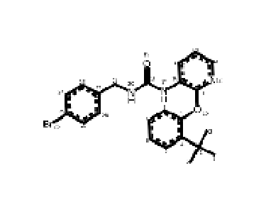 CC(C)(C)c1ccccc1Oc1ncccc1NC(=O)NCc1ccc(Br)cc1